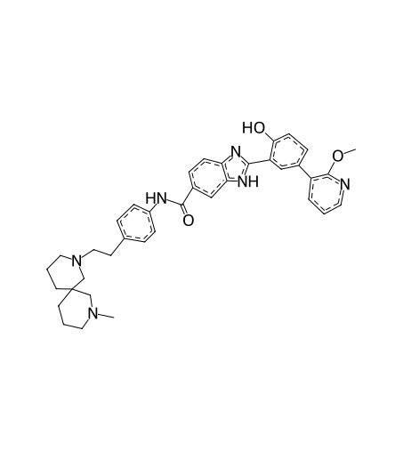 COc1ncccc1-c1ccc(O)c(-c2nc3ccc(C(=O)Nc4ccc(CCN5CCCC6(CCCN(C)C6)C5)cc4)cc3[nH]2)c1